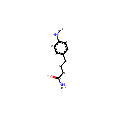 CC(C)Nc1ccc(CCCC(N)=O)cc1